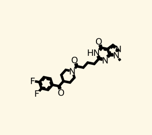 Cn1ncc2c(=O)[nH]c(CCCC(=O)N3CCC(C(=O)c4ccc(F)c(F)c4)CC3)nc21